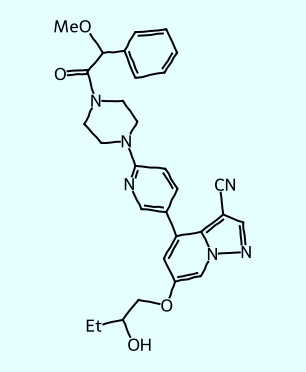 CCC(O)COc1cc(-c2ccc(N3CCN(C(=O)C(OC)c4ccccc4)CC3)nc2)c2c(C#N)cnn2c1